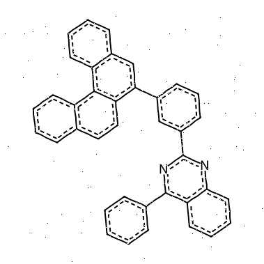 c1ccc(-c2nc(-c3cccc(-c4cc5ccccc5c5c4ccc4ccccc45)c3)nc3ccccc23)cc1